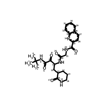 CC(C)(C)NC(=O)C(=O)C(CC1CCCNC1=O)NC(=O)CNC(=O)c1ccc2ccccc2n1